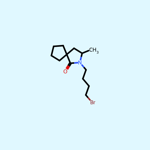 CC1CC2(CCCC2)C(=O)N1CCCCBr